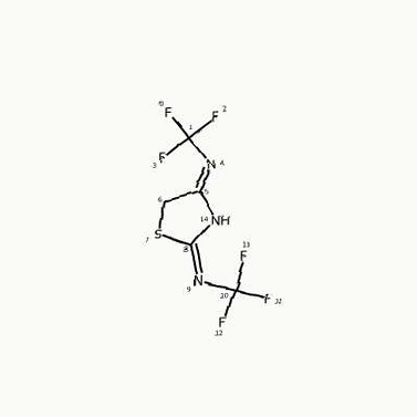 FC(F)(F)/N=C1\CS/C(=N/C(F)(F)F)N1